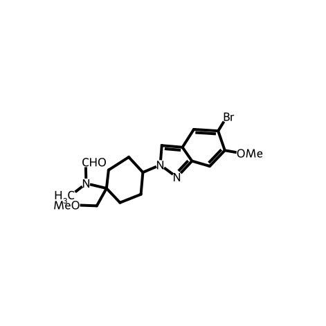 COCC1(N(C)C=O)CCC(n2cc3cc(Br)c(OC)cc3n2)CC1